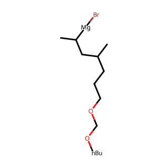 CCCCOCOCCCC(C)C[CH](C)[Mg][Br]